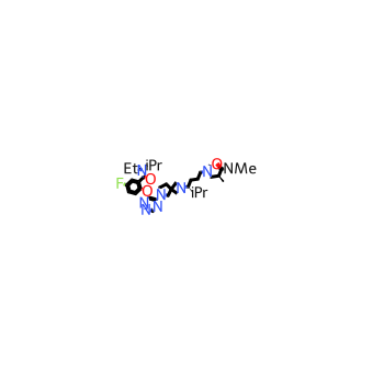 CCN(C(=O)c1cc(F)ccc1Oc1nncnc1N1CCC2(C1)CN([C@H](CCCN(C)C[C@H](C)C(=O)NC)C(C)C)C2)C(C)C